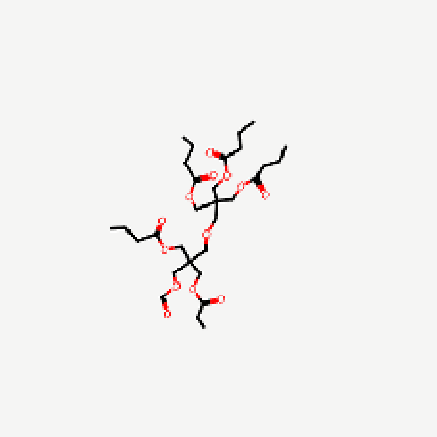 CCCC(=O)OCC(COC=O)(COCC(COC(=O)CCC)(COC(=O)CCC)COC(=O)CCC)COC(=O)CC